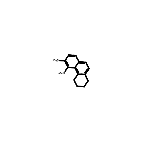 COc1c(SC)ccc2ccc3c(c12)CCCC3